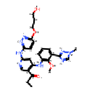 CCC(=O)c1cnc(Nc2ccc(OCCCO)nn2)cc1Nc1cccc(-c2ncn(C)n2)c1OC